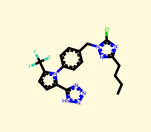 CCCCc1nc(Cl)n(Cc2ccc(-n3c(-c4nnn[nH]4)ccc3C(F)(F)F)cc2)n1